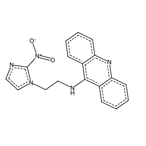 O=[N+]([O-])c1nccn1CCNc1c2ccccc2nc2ccccc12